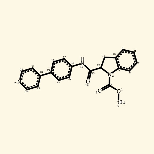 CC(C)(C)OC(=O)N1c2ccccc2CC1C(=O)Nc1ccc(-c2ccncc2)cc1